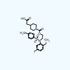 C[C@@H](COC(=O)N1CCC(CC(=O)O)CC1)N(c1cc(F)ccc1F)S(=O)(=O)c1ccc([SiH3])cc1